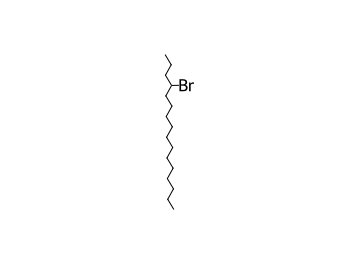 CCCCCCCCCCCCC(Br)CCC